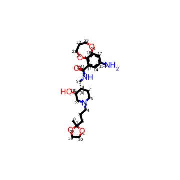 CC1(CCCN2CC[C@@H](CNC(=O)c3cc(N)cc4c3OCCCO4)[C@H](O)C2)OCCO1